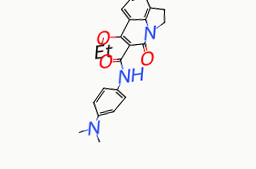 CCOc1c(C(=O)Nc2ccc(N(C)C)cc2)c(=O)n2c3c(cccc13)CC2